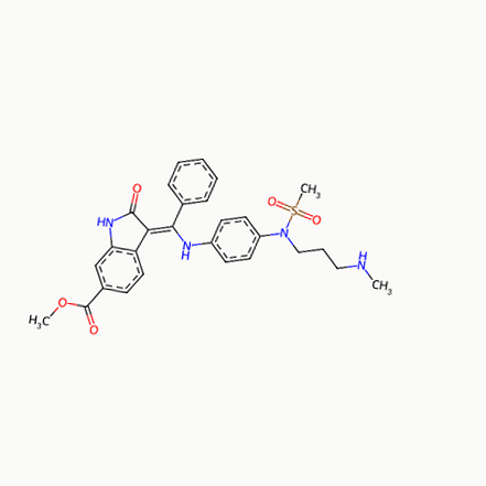 CNCCCN(c1ccc(NC(=C2C(=O)Nc3cc(C(=O)OC)ccc32)c2ccccc2)cc1)S(C)(=O)=O